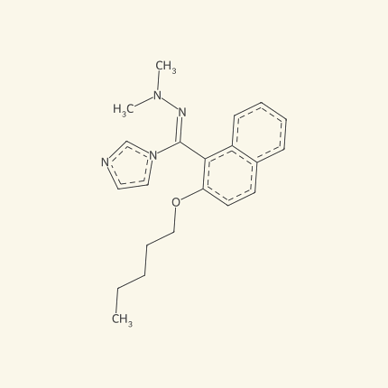 CCCCCOc1ccc2ccccc2c1C(=NN(C)C)n1ccnc1